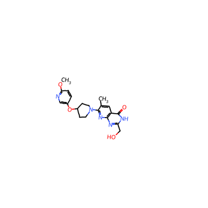 COc1ccc(OC2CCN(c3nc4nc(CO)[nH]c(=O)c4cc3C)CC2)cn1